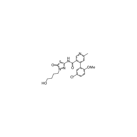 COc1ccc(Cl)cc1-c1cc(C)ncc1C(=O)Nc1nn(CCCCO)c(=O)s1